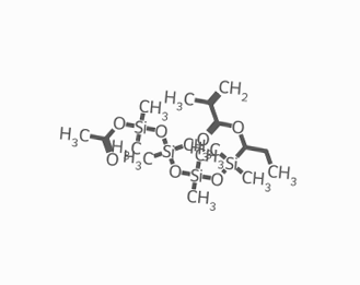 C=C(C)C(=O)OC(CC)[Si](C)(C)O[Si](C)(C)O[Si](C)(C)O[Si](C)(C)OC(C)=O